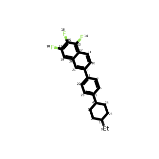 CCC1CCC(c2ccc(-c3ccc4c(F)c(F)c(F)cc4c3)cc2)CC1